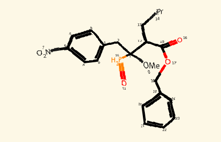 COC(Cc1ccc([N+](=O)[O-])cc1)([PH2]=O)C(CC(C)C)C(=O)OCc1ccccc1